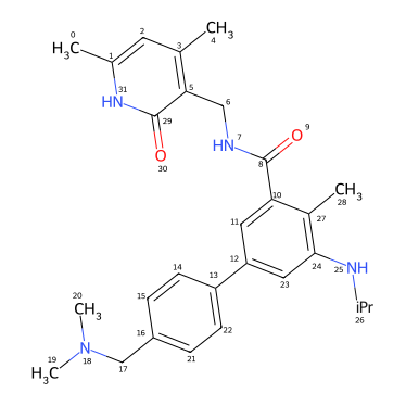 Cc1cc(C)c(CNC(=O)c2cc(-c3ccc(CN(C)C)cc3)cc(NC(C)C)c2C)c(=O)[nH]1